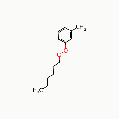 CCCCCCOOc1cccc(C)c1